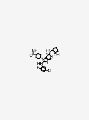 NC(=O)[C@H]1CC[C@@H](n2c(Nc3cc(Cl)ccc3F)nc3cnc(NC4CCC[C@H]4O)nc32)CC1